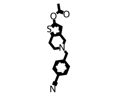 CC(=O)Oc1cc2c(s1)CCN(Cc1ccc(C#N)cc1)C2